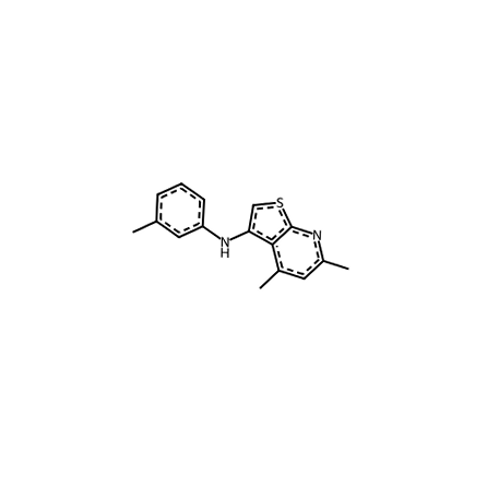 Cc1cccc(Nc2csc3nc(C)cc(C)c23)c1